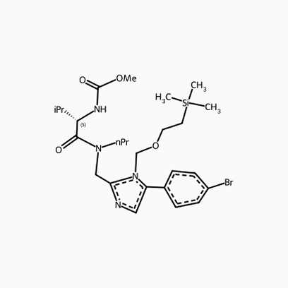 CCCN(Cc1ncc(-c2ccc(Br)cc2)n1COCC[Si](C)(C)C)C(=O)[C@@H](NC(=O)OC)C(C)C